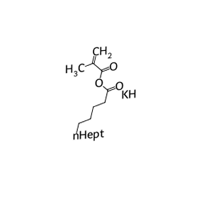 C=C(C)C(=O)OC(=O)CCCCCCCCCCC.[KH]